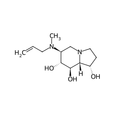 C=CCN(C)[C@H]1CN2CC[C@H](O)[C@@H]2[C@@H](O)[C@@H]1O